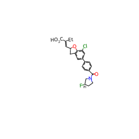 CCC(=CC1Cc2cc(-c3ccc(C(=O)N4CC[C@@H](F)C4)cc3)cc(Cl)c2O1)C(=O)O